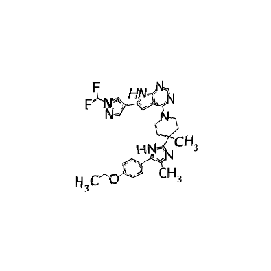 CCOc1ccc(-c2[nH]c(C3(C)CCN(c4ncnc5[nH]c(-c6cnn(C(F)F)c6)cc45)CC3)nc2C)cc1